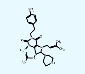 CC(C)=CCN1c2c(n(C)c(=O)n(CCc3ccc([N+](=O)[O-])cc3)c2=O)N(OC(=O)C(F)(F)F)C1N1CCNCC1